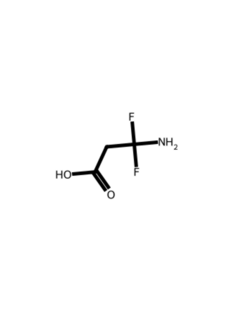 NC(F)(F)CC(=O)O